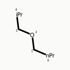 [CH2]CC[CH]OCC(C)C